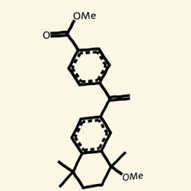 C=C(c1ccc(C(=O)OC)cc1)c1ccc2c(c1)C(C)(OC)CCC2(C)C